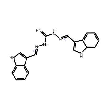 N=C(N/N=C/c1c[nH]c2ccccc12)N/N=C/c1c[nH]c2ccccc12